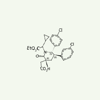 CCOC(=O)C(C1CC1)N1C(=O)[C@@](C)(CC(=O)O)C[C@H](c2cccc(Cl)c2)[C@H]1c1ccc(Cl)cc1